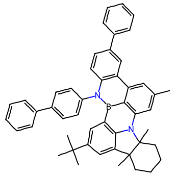 Cc1cc2c3c(c1)N1c4c(cc(C(C)(C)C)cc4C4(C)CCCCC14C)B3N(c1ccc(-c3ccccc3)cc1)c1ccc(-c3ccccc3)cc1-2